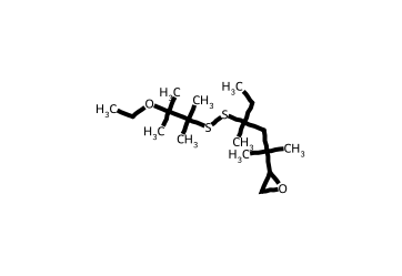 CCOC(C)(C)C(C)(C)SSC(C)(CC)CC(C)(C)C1CO1